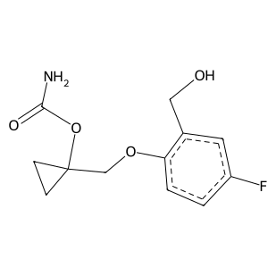 NC(=O)OC1(COc2ccc(F)cc2CO)CC1